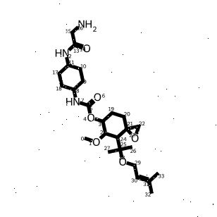 COC1C(OC(=O)NC2CCC(NC(=O)CN)CC2)CCC2(CO2)C1C(C)(C)OCC=C(C)C